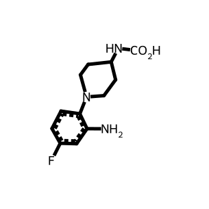 Nc1cc(F)ccc1N1CCC(NC(=O)O)CC1